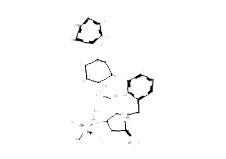 CS(=O)(=O)N[C@H]1CC(=O)N(Cc2ccccc2)[C@H]1CO[C@H]1CC[C@@H](c2ccccc2)CC1